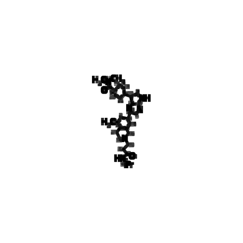 Cc1cc(-c2cnc3[nH]cc(-c4ccc(C(=O)N(C)C)cc4)c3n2)cc2c1CCN(CCC(=O)NC(C)C)C2